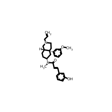 C=CCN1CC[C@@]2(c3cccc(OC)c3)C[C@H](N(C)C(=O)C=Cc3cccc(O)c3)CC[C@@H]2C1